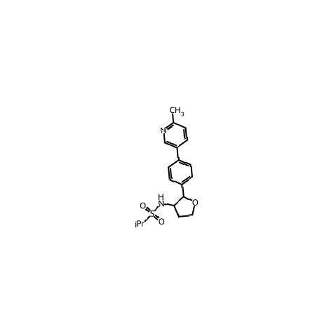 Cc1ccc(-c2ccc(C3OCCC3NS(=O)(=O)C(C)C)cc2)cn1